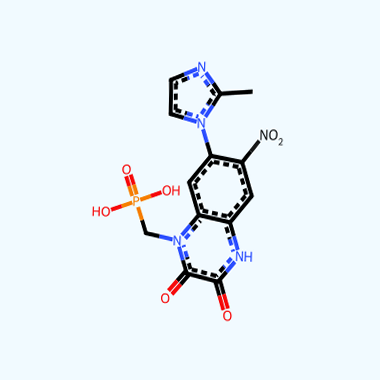 Cc1nccn1-c1cc2c(cc1[N+](=O)[O-])[nH]c(=O)c(=O)n2CP(=O)(O)O